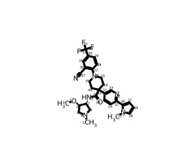 CO[C@@H]1CN(C)C[C@H]1NC(=O)C1(c2ccc(-c3cccn3C)nc2)CCN(c2ccc(C(F)(F)F)cc2C#N)CC1